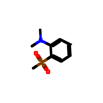 CN(C)c1c[c]ccc1S(C)(=O)=O